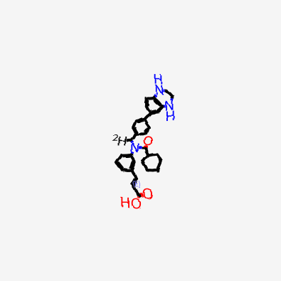 [2H]C(c1ccc(-c2ccc3c(c2)NCCN3)cc1)N(C(=O)C1CCCCC1)c1cccc(/C=C/C(=O)O)c1